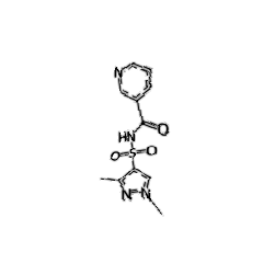 Cc1nn(C)cc1S(=O)(=O)NC(=O)c1cccnc1